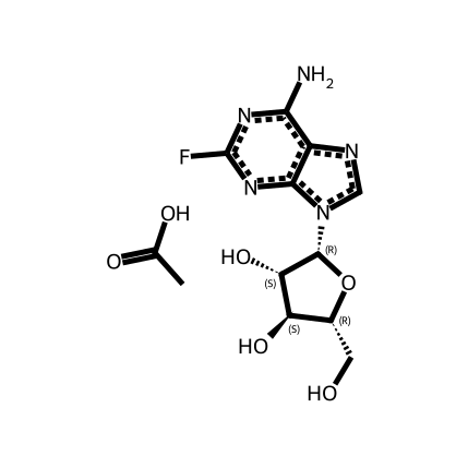 CC(=O)O.Nc1nc(F)nc2c1ncn2[C@@H]1O[C@H](CO)[C@@H](O)[C@@H]1O